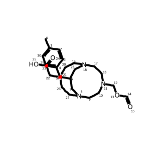 Cc1ccc(CC2CN3CCN(COC=O)CCN(CCN(CC(=O)O)CC3)C2)cc1